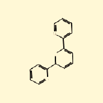 C1=CC(c2ccccn2)SC(c2ccccn2)=C1